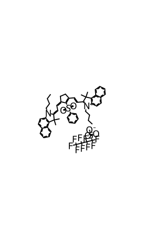 CCCCN1C(=CC=C2CCC(C=CC3=[N+](CCCC)c4ccc5ccccc5c4C3(C)C)=C2S(=O)(=O)c2ccccc2)C(C)(C)c2c1ccc1ccccc21.O=S(=O)([O-])C(F)(F)C(F)(F)C(F)(F)C(F)(F)F